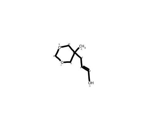 CC1(CC=CO)COCOC1